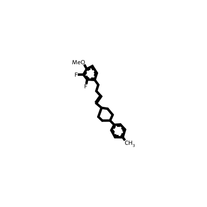 COc1ccc(CC/C=C/C2CCC(c3ccc(C)cc3)CC2)c(F)c1F